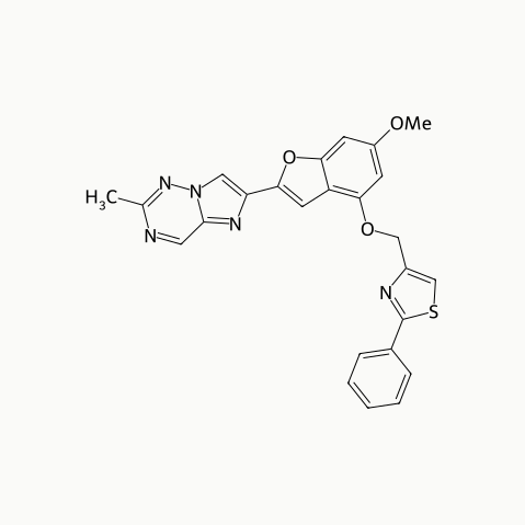 COc1cc(OCc2csc(-c3ccccc3)n2)c2cc(-c3cn4nc(C)ncc4n3)oc2c1